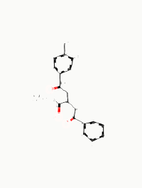 COC(=O)C(CC(=O)c1ccccc1)CC(=O)c1ccc(C)cc1